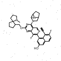 C#Cc1c(F)ccc2cc(O)cc(-c3ncc4c(N5CC6CCC(C5)N6)nc(OCC5CCCC56CCCN6C)nc4c3F)c12